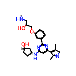 CNCC(O)COc1cccc(-c2nc(N[C@@H]3CC[C@@H](O)C3)cc(C3=C(C)CN=C3C)n2)c1